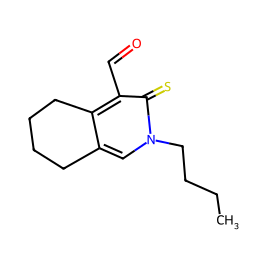 CCCCn1cc2c(c(C=O)c1=S)CCCC2